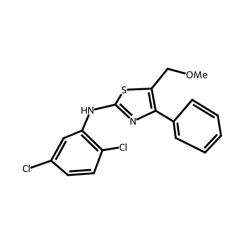 COCc1sc(Nc2cc(Cl)ccc2Cl)nc1-c1ccccc1